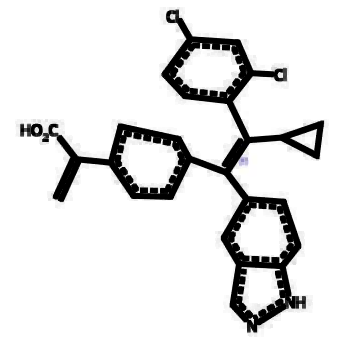 C=C(C(=O)O)c1ccc(/C(=C(\c2ccc(Cl)cc2Cl)C2CC2)c2ccc3[nH]ncc3c2)cc1